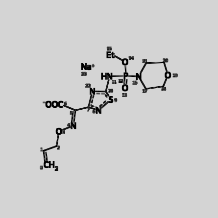 C=CCON=C(C(=O)[O-])c1nsc(NP(=O)(OCC)N2CCOCC2)n1.[Na+]